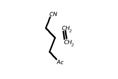 C=C.CC(=O)CCCC#N